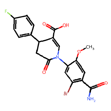 COc1cc(C(N)=O)c(Br)cc1N1C=C(C(=O)O)C(c2ccc(F)cc2)CC1=O